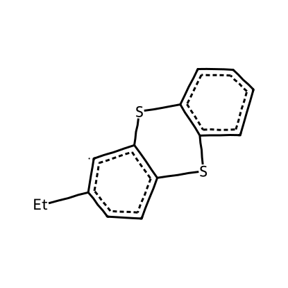 CCc1[c]c2c(cc1)Sc1ccccc1S2